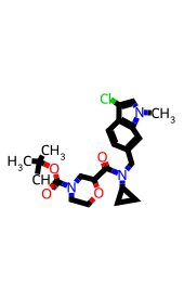 Cn1cc(Cl)c2ccc(CN(C(=O)C3CN(C(=O)OC(C)(C)C)CCO3)C3CC3)cc21